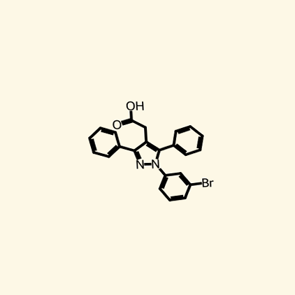 O=C(O)Cc1c(-c2ccccc2)nn(-c2cccc(Br)c2)c1-c1ccccc1